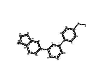 CCc1ccc(-c2cc(-c3ccc4[nH]ncc4c3)ncn2)cc1